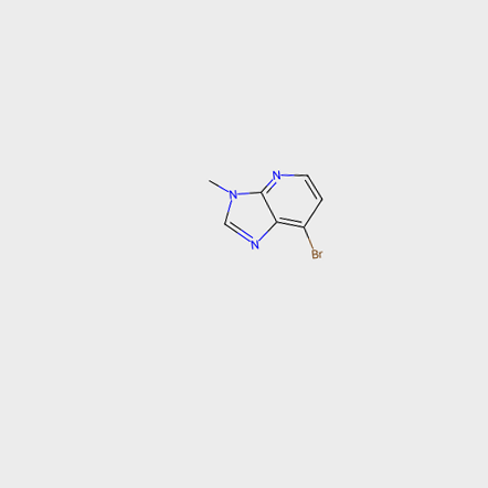 Cn1cnc2c(Br)ccnc21